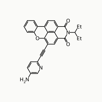 CCC(CC)n1c(=O)c2ccc3c4ccccc4oc4c(C#Cc5ccc(N)cn5)cc(c1=O)c2c43